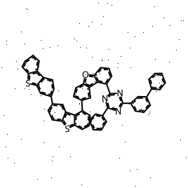 c1ccc(-c2cccc(-c3nc(-c4ccccc4)nc(-c4cccc5oc6ccc(-c7cccc8sc9ccc(-c%10ccc%11c(c%10)sc%10ccccc%10%11)cc9c78)cc6c45)n3)c2)cc1